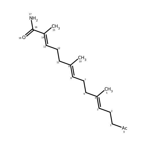 CC(=O)CC/C=C(\C)CC/C=C(\C)CC/C=C(\C)C(N)=O